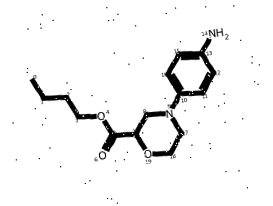 CCCCOC(=O)C1CN(c2ccc(N)cc2)CCO1